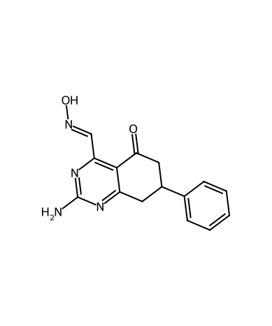 Nc1nc(C=NO)c2c(n1)CC(c1ccccc1)CC2=O